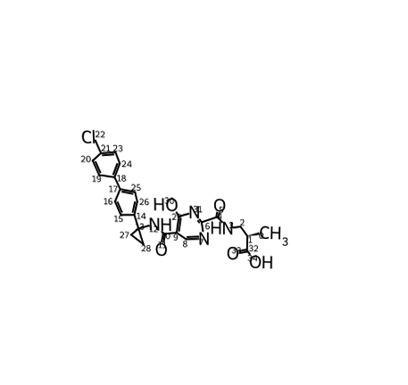 C[C@H](CNC(=O)c1ncc(C(=O)NC2(c3ccc(-c4ccc(Cl)cc4)cc3)CC2)c(O)n1)C(=O)O